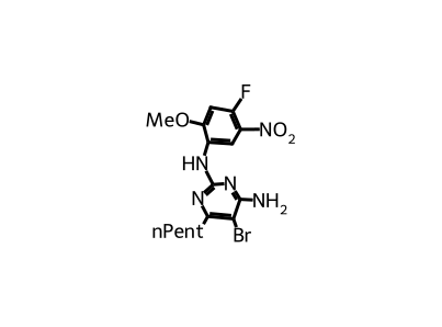 CCCCCc1nc(Nc2cc([N+](=O)[O-])c(F)cc2OC)nc(N)c1Br